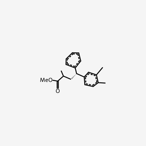 COC(=O)C(C)C[C@H](c1ccccc1)c1ccc(C)c(C)c1